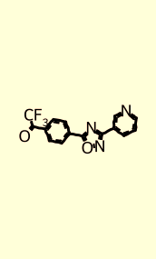 O=C(c1ccc(-c2nc(-c3cccnc3)no2)cc1)C(F)(F)F